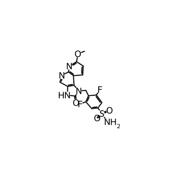 COc1ccc2c(ncc3[nH]c(=O)n(Cc4c(F)cc(S(N)(=O)=O)cc4F)c32)n1